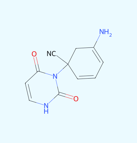 N#CC1(n2c(=O)cc[nH]c2=O)C=CC=C(N)C1